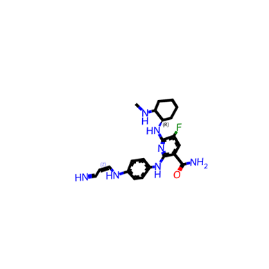 CNC1CCCC[C@H]1Nc1nc(Nc2ccc(N/C=C\C=N)cc2)c(C(N)=O)cc1F